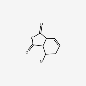 O=C1OC(=O)C2C(Br)CC=CC12